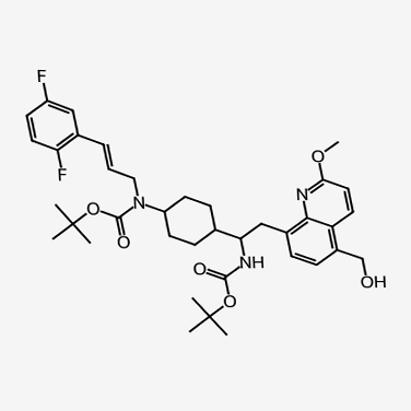 COc1ccc2c(CO)ccc(CC(NC(=O)OC(C)(C)C)C3CCC(N(C/C=C/c4cc(F)ccc4F)C(=O)OC(C)(C)C)CC3)c2n1